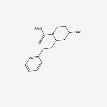 COC(=O)N1CCC(C#N)CC1CCc1ccccc1